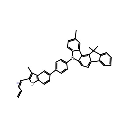 C=C/C=C\c1oc2ccc(-c3ccc(-n4c5ccc(C)cc5c5c6c(ccc54)-c4ccccc4C6(C)C)cc3)cc2c1C